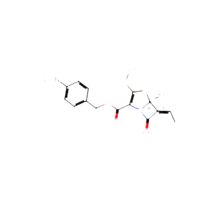 C/C=C1\C(=O)N2C(C(=O)OCc3ccc([N+](=O)[O-])cc3)=C(SCC)S[C@H]12